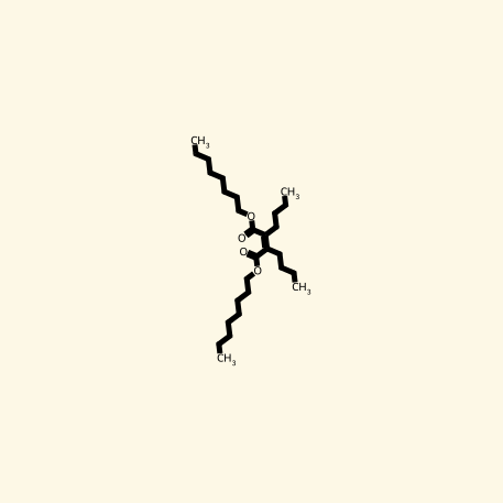 CCCCCCCCOC(=O)/C(CCCC)=C(/CCCC)C(=O)OCCCCCCCC